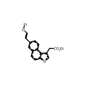 CCO/C=C/c1ccc2c(ccc3occ(CC(=O)OCC)c32)c1